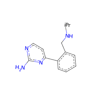 CC(C)NCc1ccccc1-c1ccnc(N)n1